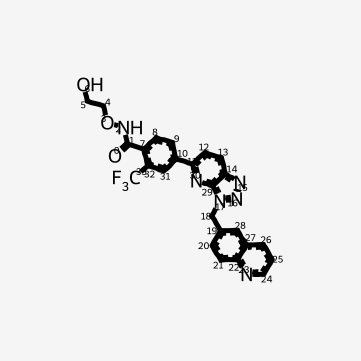 O=C(NOCCO)c1ccc(-c2ccc3nnn(Cc4ccc5ncccc5c4)c3n2)cc1C(F)(F)F